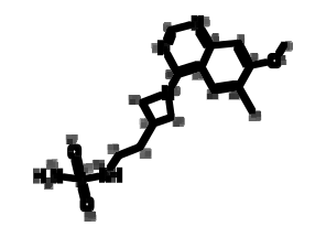 COc1cc2ncnc(N3CC(CCNS(N)(=O)=O)C3)c2cc1C